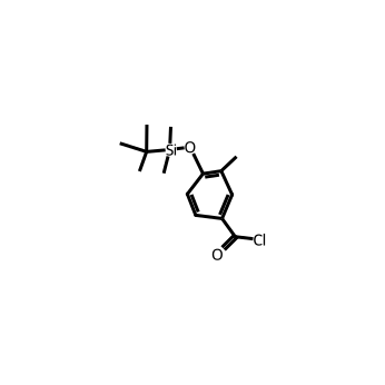 Cc1cc(C(=O)Cl)ccc1O[Si](C)(C)C(C)(C)C